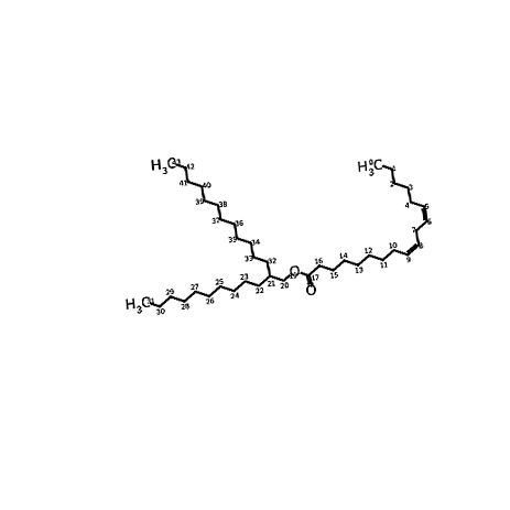 CCCCC/C=C\C/C=C\CCCCCCCC(=O)OCC(CCCCCCCCCC)CCCCCCCCCCCC